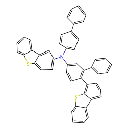 c1ccc(-c2ccc(N(c3ccc(-c4cccc5c4sc4ccccc45)c(-c4ccccc4)c3)c3ccc4sc5ccccc5c4c3)cc2)cc1